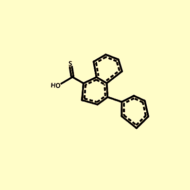 OC(=S)c1ccc(-c2ccccc2)c2ccccc12